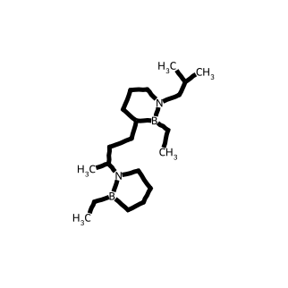 CCB1C(CCC(C)N2CCCCB2CC)CCCN1CC(C)C